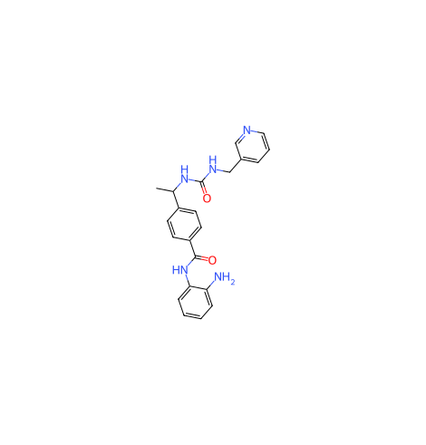 CC(NC(=O)NCc1cccnc1)c1ccc(C(=O)Nc2ccccc2N)cc1